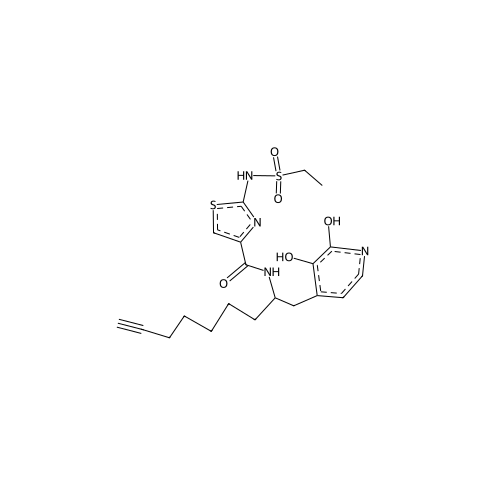 C#CCCCCCC(Cc1ccnc(O)c1O)NC(=O)c1csc(NS(=O)(=O)CC)n1